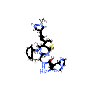 C[C@@H](NC(=O)c1c(N)ncn2ccnc12)c1nc2scc(C#Cc3cnn(C)c3)c2c(=O)n1-c1ccccc1